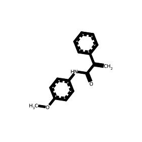 C=C(C(=O)Nc1ccc(OC)cc1)c1ccccc1